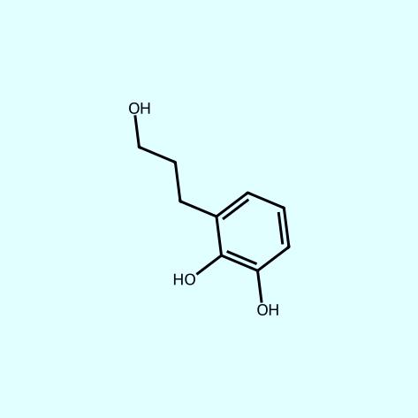 OCCCc1cccc(O)c1O